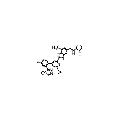 Cc1cc(CN[C@@H]2CCC[C@@H]2O)cc2nc(-c3cc(-c4ccc(F)cc4-c4nncn4C)cc(C4CC4)n3)oc12